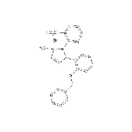 CC1(Br)C=CC(c2ccccc2OCc2ccccc2)N1c1ncccc1C(=O)O